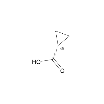 O=C(O)[C@H]1[CH]C1